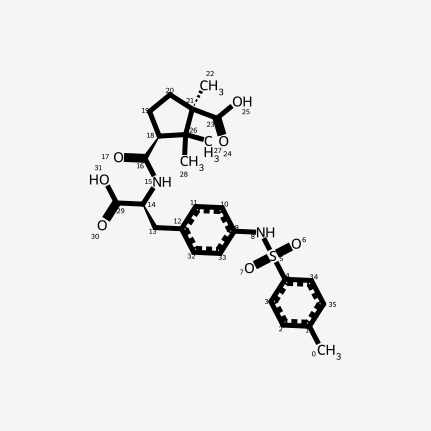 Cc1ccc(S(=O)(=O)Nc2ccc(C[C@H](NC(=O)[C@H]3CC[C@@](C)(C(=O)O)C3(C)C)C(=O)O)cc2)cc1